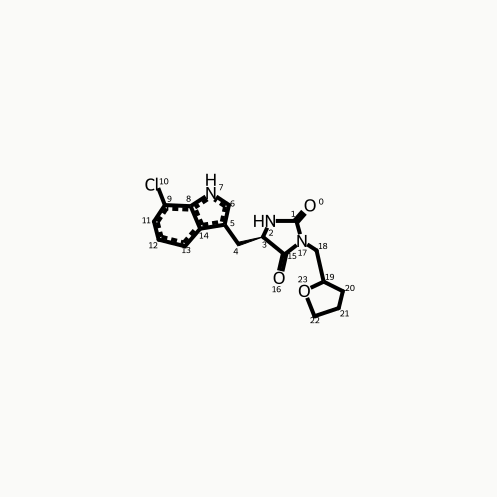 O=C1N[C@H](Cc2c[nH]c3c(Cl)cccc23)C(=O)N1CC1CCCO1